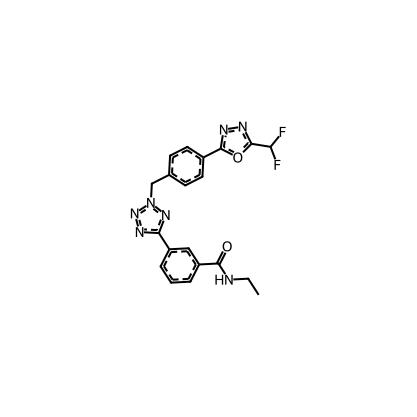 CCNC(=O)c1cccc(-c2nnn(Cc3ccc(-c4nnc(C(F)F)o4)cc3)n2)c1